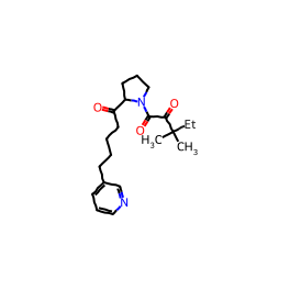 CCC(C)(C)C(=O)C(=O)N1CCCC1C(=O)CCCCc1cccnc1